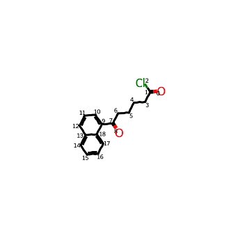 O=C(Cl)CCCCC(=O)c1cccc2ccccc12